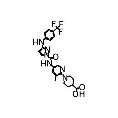 Cc1cc(NC(=O)n2ccc(Nc3ccc(C(F)(F)F)cc3)n2)cnc1N1CCC(C(=O)O)CC1